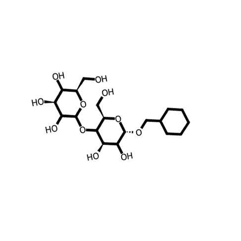 OC[C@H]1OC(OC2[C@H](O)C(O)[C@@H](OCC3CCCCC3)O[C@@H]2CO)C(O)[C@@H](O)C1O